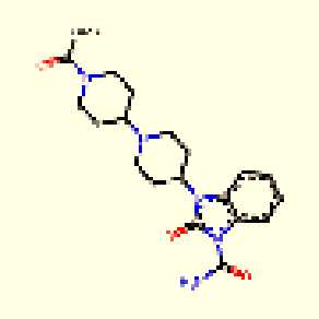 COC(=O)N1CCC(N2CCC(n3c(=O)n(C(N)=O)c4ccccc43)CC2)CC1